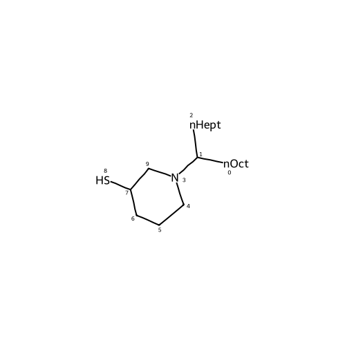 CCCCCCCCC(CCCCCCC)N1CCCC(S)C1